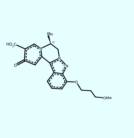 COCCCOc1cccc2c3n(nc12)C[C@H](C(C)(C)C)n1cc(C(=O)O)c(=O)cc1-3